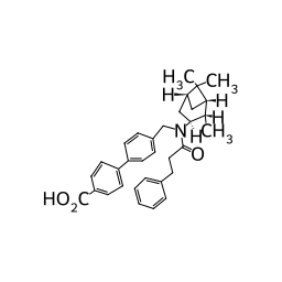 C[C@@H]1[C@@H](N(Cc2ccc(-c3ccc(C(=O)O)cc3)cc2)C(=O)CCc2ccccc2)C[C@H]2C[C@@H]1C2(C)C